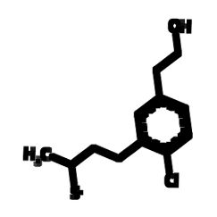 CC([S])CCc1cc(CCO)ccc1Cl